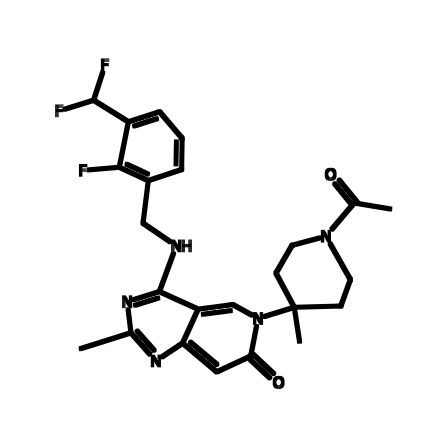 CC(=O)N1CCC(C)(n2cc3c(NCc4cccc(C(F)F)c4F)nc(C)nc3cc2=O)CC1